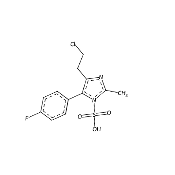 Cc1nc(CCCl)c(-c2ccc(F)cc2)n1S(=O)(=O)O